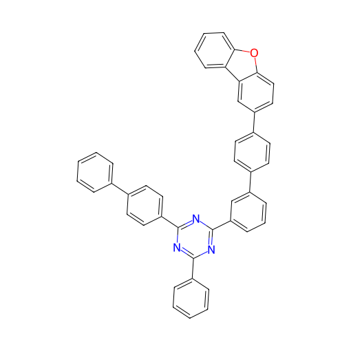 c1ccc(-c2ccc(-c3nc(-c4ccccc4)nc(-c4cccc(-c5ccc(-c6ccc7oc8ccccc8c7c6)cc5)c4)n3)cc2)cc1